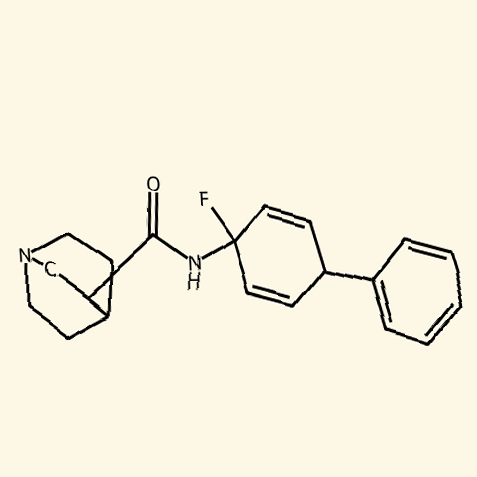 O=C(NC1(F)C=CC(c2ccccc2)C=C1)C1CN2CCC1CC2